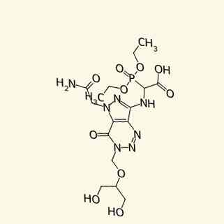 CCOP(=O)(OCC)C(Nc1nn(CC(N)=O)c2c(=O)n(COC(CO)CO)nnc12)C(=O)O